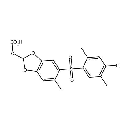 Cc1cc(S(=O)(=O)c2cc3c(cc2C)OC(OC(=O)O)O3)c(C)cc1Cl